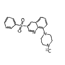 [11CH3]N1CCN(c2cccc3cc(S(=O)(=O)c4ccccc4)cnc23)CC1